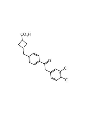 O=C(Cc1ccc(Cl)c(Cl)c1)c1ccc(CN2CC(C(=O)O)C2)cc1